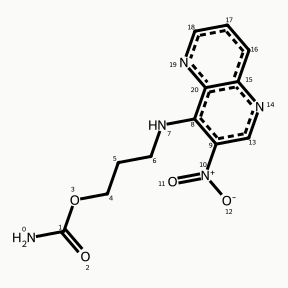 NC(=O)OCCCNc1c([N+](=O)[O-])cnc2cccnc12